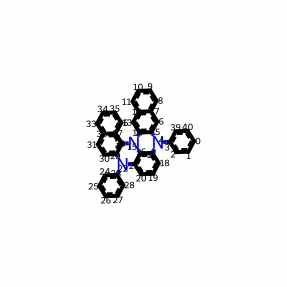 c1ccc(N2c3cc4ccccc4cc3N3c4c2cccc4N(c2ccccc2)c2ccc4ccccc4c23)cc1